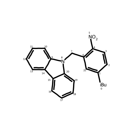 CCC(C)c1ccc([N+](=O)[O-])c(Cn2c3ccccc3c3ccccc32)c1